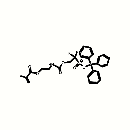 C=C(C)C(=O)OCCNC(=O)OCC(F)(F)S(=O)(=O)OS(c1ccccc1)(c1ccccc1)c1ccccc1